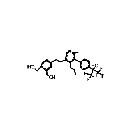 CCCc1c(CCc2ccc(CO)c(CO)c2)ccc(C)c1-c1ccc(C(O)(C(F)(F)F)C(F)(F)F)cc1